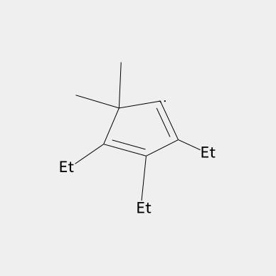 CCC1=[C]C(C)(C)C(CC)=C1CC